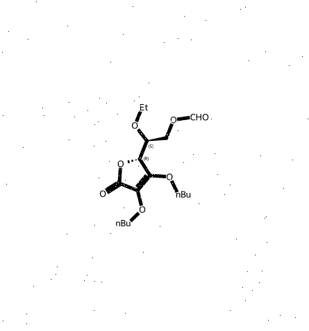 CCCCOC1=C(OCCCC)[C@@H]([C@H](COC=O)OCC)OC1=O